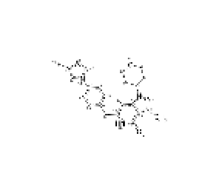 Cc1nn(C2CCOCC2)c2nc(Cc3ccc(-n4cc(F)cn4)nc3)[nH]c(=O)c12